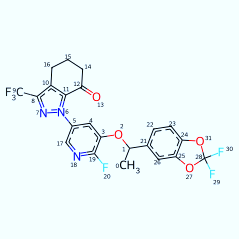 CC(Oc1cc(-n2nc(C(F)(F)F)c3c2C(=O)CCC3)cnc1F)c1ccc2c(c1)OC(F)(F)O2